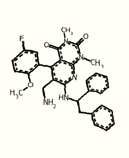 COc1ccc(F)cc1-c1c(CN)c(NC(Cc2ccccc2)c2ccccc2)nc2c1c(=O)n(C)c(=O)n2C